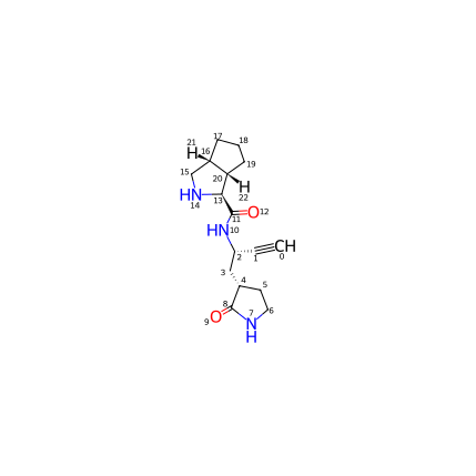 C#C[C@H](C[C@@H]1CCNC1=O)NC(=O)[C@H]1NC[C@@H]2CCC[C@@H]21